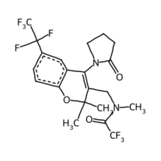 CN(CC1=C(N2CCCC2=O)c2cc(C(F)(F)C(F)(F)F)ccc2OC1(C)C)C(=O)C(F)(F)F